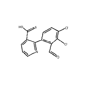 O=Cc1c(-c2ncccc2C(O)=S)ccc(Cl)c1Cl